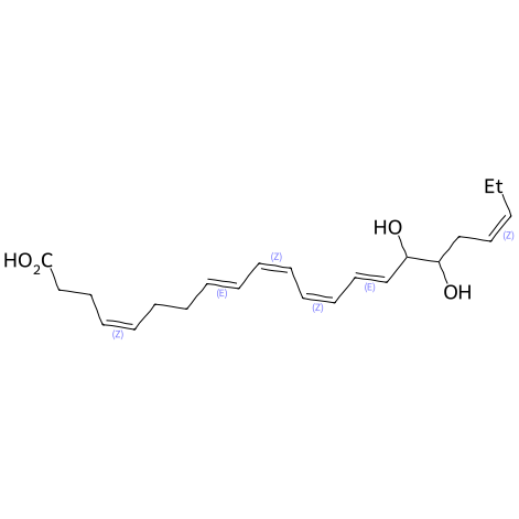 CC/C=C\CC(O)C(O)/C=C/C=C\C=C/C=C/CC/C=C\CCC(=O)O